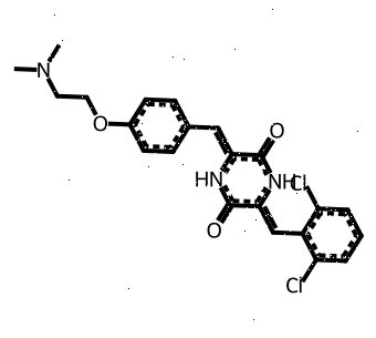 CN(C)CCOc1ccc(C=c2[nH]c(=O)c(=Cc3c(Cl)cccc3Cl)[nH]c2=O)cc1